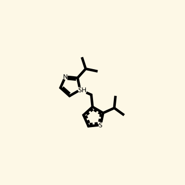 CC(C)C1=NC=C[SH]1Cc1ccsc1C(C)C